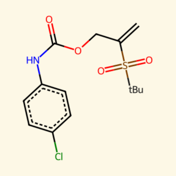 C=C(COC(=O)Nc1ccc(Cl)cc1)S(=O)(=O)C(C)(C)C